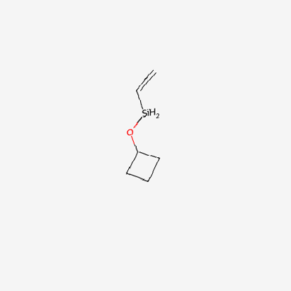 C=C[SiH2]OC1CCC1